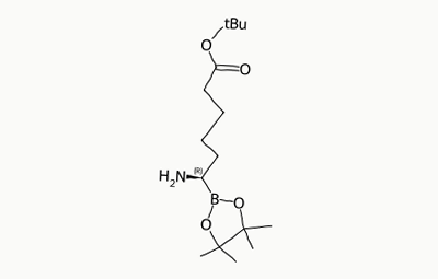 CC(C)(C)OC(=O)CCCC[C@H](N)B1OC(C)(C)C(C)(C)O1